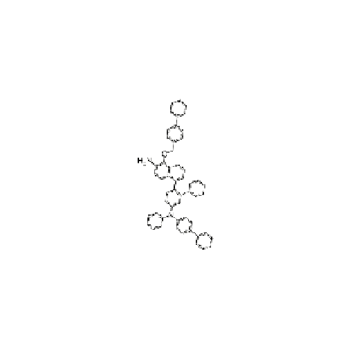 Nc1ccc2c(-c3ccc(N(c4ccccc4)c4ccc(-c5ccccc5)cc4)cc3-c3ccccc3)cccc2c1OCc1ccc(-c2ccccc2)cc1